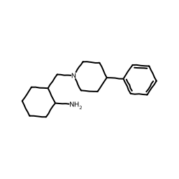 NC1CCCCC1CN1CCC(c2ccccc2)CC1